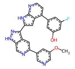 COc1cncc(-c2cc3c(-c4cc5c(-c6cc(O)cc(F)c6)ccnc5[nH]4)n[nH]c3cn2)c1